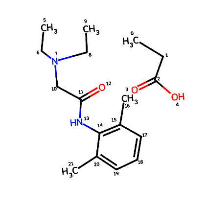 CCC(=O)O.CCN(CC)CC(=O)Nc1c(C)cccc1C